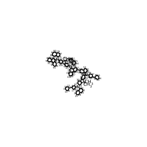 CC1(C)c2cc(N(c3ccc(-c4ccccc4)cc3)c3cccc4ccccc34)ccc2-c2ccc(N(c3ccc(-c4ccccc4)cc3)c3cccc4cc(-c5ccc6c(N(c7ccc8c(c7)C(C)(C)c7cc(N(c9cccc%10ccccc9%10)c9cc%10ccccc%10c%10ccccc9%10)ccc7-8)c7cccc8ccccc78)cc7ccccc7c6c5)ccc34)cc21